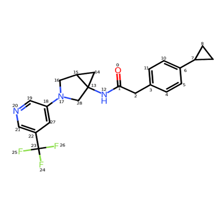 O=C(Cc1ccc(C2CC2)cc1)NC12CC1CN(c1cncc(C(F)(F)F)c1)C2